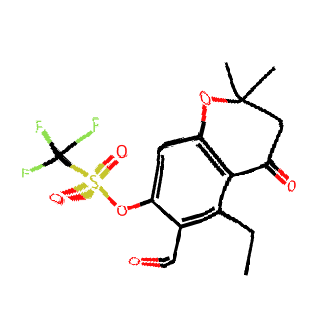 CCc1c(C=O)c(OS(=O)(=O)C(F)(F)F)cc2c1C(=O)CC(C)(C)O2